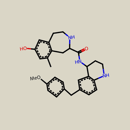 COc1ccc(Cc2ccc3c(c2)C(NC(=O)C2Cc4c(C)cc(O)cc4CCN2)CCN3)cc1